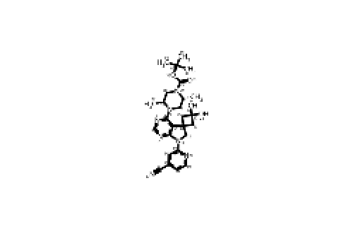 C[C@@H]1CN(c2ncnc3c2C2(CN3c3cc(C#N)ccn3)CC(C)(O)C2)[C@@H](C)CN1C(=O)OC(C)(C)C